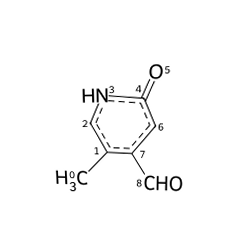 Cc1c[nH]c(=O)cc1C=O